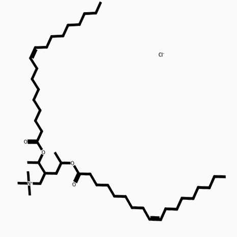 CCCCCCCC/C=C\CCCCCCCC(=O)OC(C)CC(C[N+](C)(C)C)C(C)OC(=O)CCCCCCC/C=C\CCCCCCCC.[Cl-]